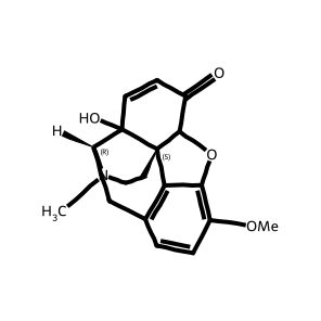 COc1ccc2c3c1OC1C(=O)C=CC4(O)[C@@H](C2)N(C)CC[C@]314